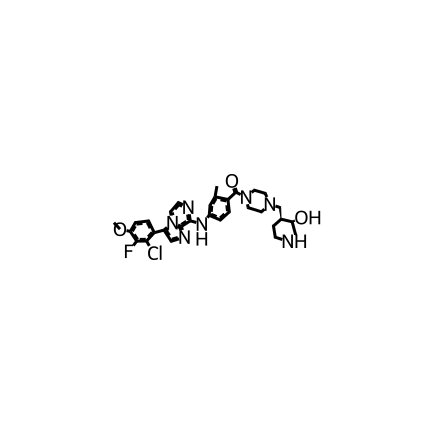 COc1ccc(-c2cnc3c(Nc4ccc(C(=O)N5CCN(C[C@@H]6CCNC[C@@H]6O)CC5)c(C)c4)nccn23)c(Cl)c1F